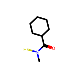 CN(S)C(=O)C1CCCCC1